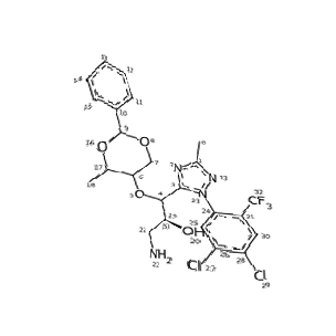 Cc1nc(C(OC2COC(c3ccccc3)OC2C)[C@@H](O)CN)n(-c2cc(Cl)c(Cl)cc2C(F)(F)F)n1